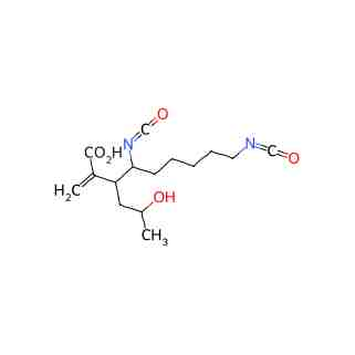 C=C(C(=O)O)C(CC(C)O)C(CCCCCN=C=O)N=C=O